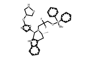 C[C@@H]1Cc2c([nH]c3ccccc23)[C@@H](c2cnc(O[C@H]3CNOC3)s2)N1CC(F)(F)CO[Si](c1ccccc1)(c1ccccc1)C(C)(C)C